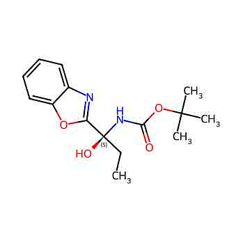 CC[C@@](O)(NC(=O)OC(C)(C)C)c1nc2ccccc2o1